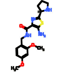 COc1ccc(CNC(=O)c2nc([C@H]3CCCN3)sc2N)c(OC)c1